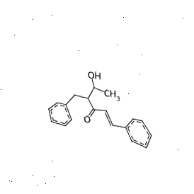 CC(O)C(Cc1ccccc1)C(=O)C=Cc1ccccc1